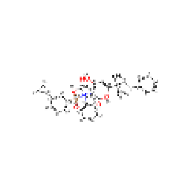 CC(C)(CCc1ccccc1)c1cc(O)c([N+](C)(c2ccccc2)S(=O)(=O)c2cccc(C3CC3)c2)c(=O)o1